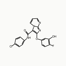 O=C(Nc1ccc(Cl)cc1)c1c(Oc2ccc(F)c(O)c2)nc2ncccn12